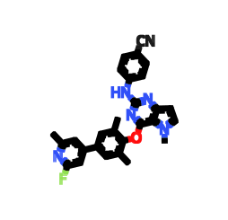 Cc1cc(-c2cc(C)c(Oc3nc(Nc4ccc(C#N)cc4)nc4ccn(C)c34)c(C)c2)cc(F)n1